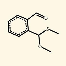 COC(SC)c1ccccc1[C]=O